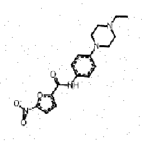 CCN1CCN(c2ccc(NC(=O)c3ccc([N+](=O)[O-])o3)cc2)CC1